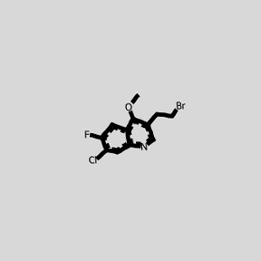 COc1c(CCBr)cnc2cc(Cl)c(F)cc12